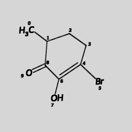 CC1CCC(Br)=C(O)C1=O